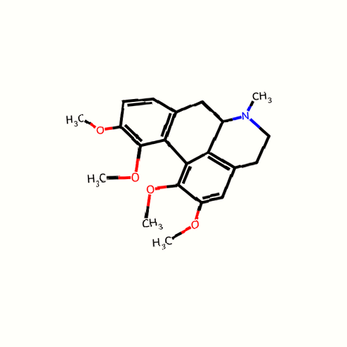 COc1ccc2c(c1OC)-c1c(OC)c(OC)cc3c1C(C2)N(C)CC3